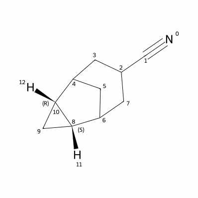 N#CC1CC2CC(C1)[C@@H]1C[C@H]21